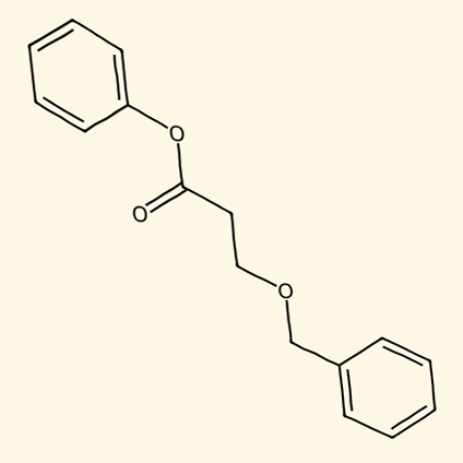 O=C(CCOCc1ccccc1)Oc1ccccc1